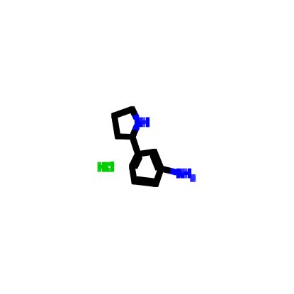 Cl.Nc1cccc(C2CCCN2)c1